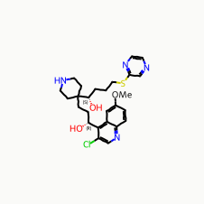 COc1ccc2ncc(Cl)c([C@H](O)CCC3([C@@H](O)CCCSc4cnccn4)CCNCC3)c2c1